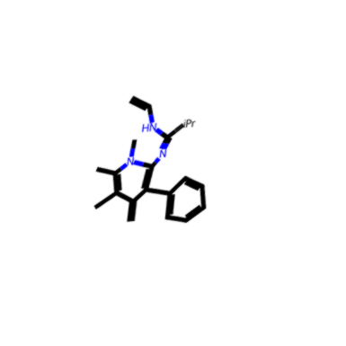 C=CN/C(=N\C1=C(c2ccccc2)C(=C)C(C)=C(C)N1C)C(C)C